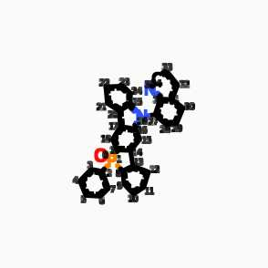 O=P1(c2ccccc2)c2ccccc2-c2cc3c(cc21)c1ccccc1n3-c1cccc2cccnc12